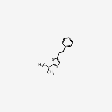 CC(C)c1ncc(CCc2ccccc2)s1